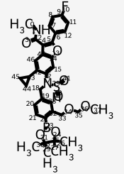 CNC(=O)c1c(-c2ccc(F)cc2)oc2cc(N(Cc3ccc(B4OC(C)(C)C(C)(C)O4)c(COCOC)c3)[SH](=O)=O)c(C3CC3)cc12